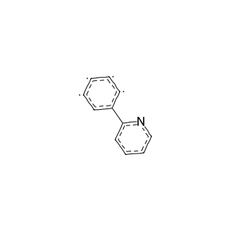 [c]1[c][c]c(-c2ccccn2)c[c]1